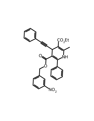 CCOC(=O)C1=C(C)NC(c2ccccc2)=C(C(=O)OCc2cccc([N+](=O)[O-])c2)C1C#Cc1ccccc1